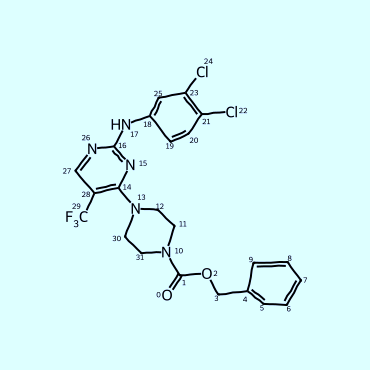 O=C(OCc1ccccc1)N1CCN(c2nc(Nc3ccc(Cl)c(Cl)c3)ncc2C(F)(F)F)CC1